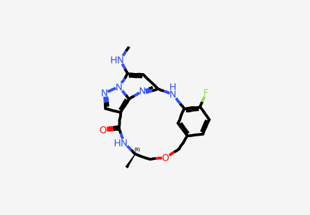 CNc1cc2nc3c(cnn13)C(=O)N[C@H](C)COCc1ccc(F)c(c1)N2